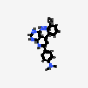 CN(C)c1ccc(-c2cc(-c3cccc(C#N)c3)c3c(N)ncnc3n2)cc1